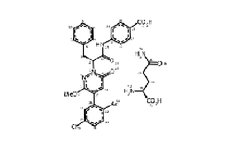 COc1nn([C@@H](Cc2ccccc2)C(=O)Nc2ccc(C(=O)O)cc2)c(=O)cc1-c1cc(Cl)ccc1C(C)=O.NC(=O)CC[C@H](N)C(=O)O